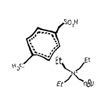 CCCC[N+](CC)(CC)CC.Cc1ccc(S(=O)(=O)O)cc1